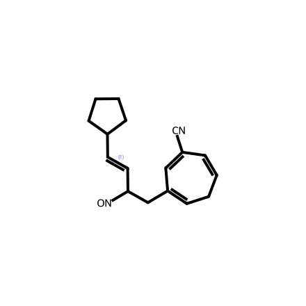 N#CC1=CC(CC(/C=C/C2CCCC2)N=O)=CCC=C1